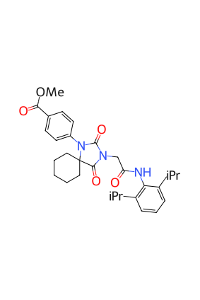 COC(=O)c1ccc(N2C(=O)N(CC(=O)Nc3c(C(C)C)cccc3C(C)C)C(=O)C23CCCCC3)cc1